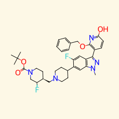 Cn1nc(-c2ccc(O)nc2OCc2ccccc2)c2cc(F)c(C3CCN(C[C@@H]4CCN(C(=O)OC(C)(C)C)C[C@@H]4F)CC3)cc21